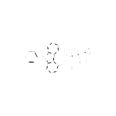 CB(OC(C)(C)C(C)(C)C1CC1)c1cccc2c1c1ccccc1n2C1=CCCC=C1